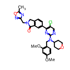 COc1ccc(CN(c2ncc(Cl)c(-c3ccc4c(c3)C(=O)N(Cc3noc(C)n3)C4)n2)C2CCOCC2)c(OC)c1